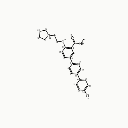 CNC(=O)c1cc(-c2ccc(-c3ccc(Cl)cc3)cn2)ccc1OCCN1CCCC1